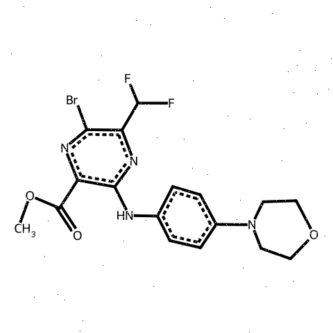 COC(=O)c1nc(Br)c(C(F)F)nc1Nc1ccc(N2CCOCC2)cc1